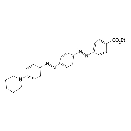 CCOC(=O)c1ccc(N=Nc2ccc(N=Nc3ccc(N4CCCCC4)cc3)cc2)cc1